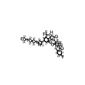 O=C1N[C@]2(CC(F)(F)c3cc(-c4cnn(C5CC6(C5)CN(C5COC5)C6)c4)ccc32)C(=O)N1CC(=O)N(Cc1ccc(F)cn1)C1(C(F)(F)F)COC1